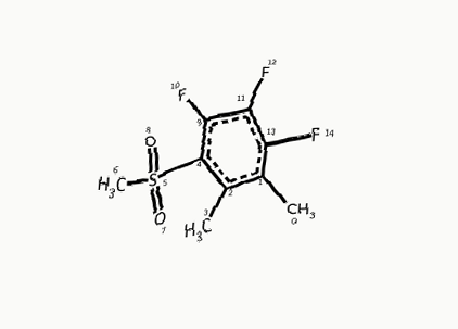 Cc1c(C)c(S(C)(=O)=O)c(F)c(F)c1F